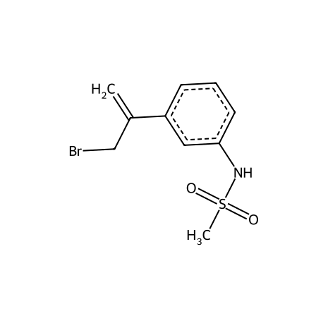 C=C(CBr)c1cccc(NS(C)(=O)=O)c1